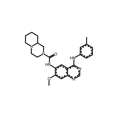 COc1cc2ncnc(Nc3cccc(C)c3)c2cc1NC(=O)N1CCN2CCCCC2C1